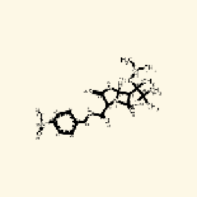 C[SiH](C)OC(C)(C1C(=O)N2C(C(=O)OCc3ccc([N+](=O)[O-])cc3)C(=S)S[C@H]12)C(C)(C)C